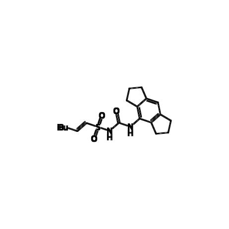 CCC(C)/C=C/S(=O)(=O)NC(=O)Nc1c2c(cc3c1CCC3)CCC2